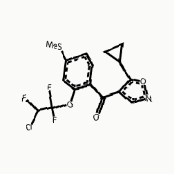 CSc1ccc(C(=O)c2cnoc2C2CC2)c(OC(F)(F)C(F)Cl)c1